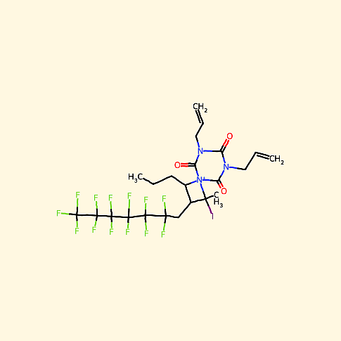 C=CCN1C(=O)N(CC=C)C(=O)[N+]2(C1=O)C(CCC)C(CC(F)(F)C(F)(F)C(F)(F)C(F)(F)C(F)(F)C(F)(F)F)C2(C)I